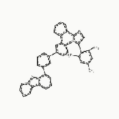 Cc1cc(C)c(-c2cnc3c4ccccc4c4cc(-c5cccc(-c6cccc7c6sc6ccccc67)c5)ccc4n23)c(C)c1